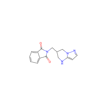 O=C1c2ccccc2C(=O)N1CC1CNc2ccnn2C1